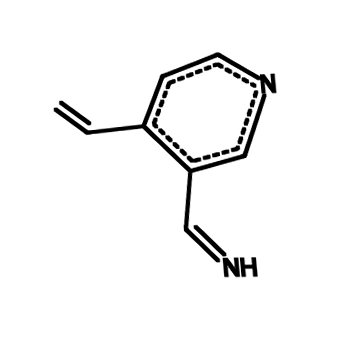 C=Cc1ccncc1C=N